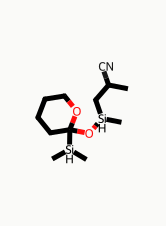 CC(C#N)C[SiH](C)OC1([SiH](C)C)CCCCO1